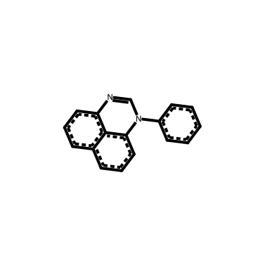 C1=Nc2cccc3cccc(c23)N1c1ccccc1